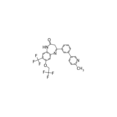 Cc1ccc(-c2cccc(C3=Nc4cc(OCC(F)(F)F)c(C(F)(F)F)cc4NC(=O)C3)c2)cn1